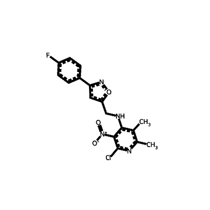 Cc1nc(Cl)c([N+](=O)[O-])c(NCc2cc(-c3ccc(F)cc3)no2)c1C